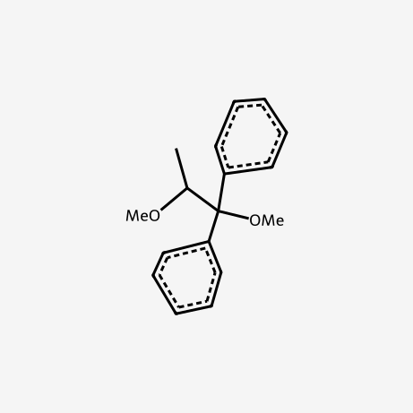 COC(C)C(OC)(c1ccccc1)c1ccccc1